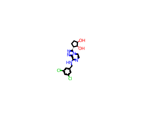 O[C@@H]1[C@H](O)CC[C@H]1c1nnc2c(NCc3cc(Cl)cc(Cl)c3)nccn12